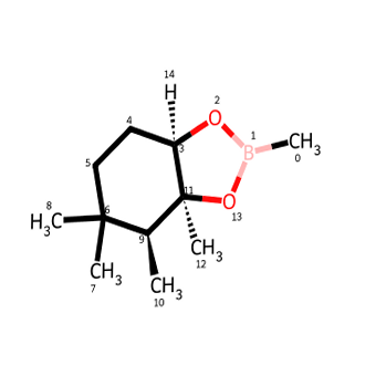 CB1O[C@@H]2CCC(C)(C)[C@H](C)[C@]2(C)O1